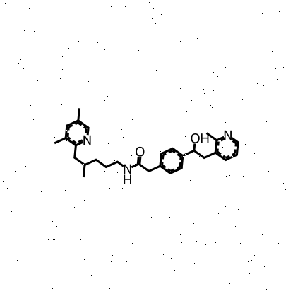 Cc1cnc(CC(C)CCCNC(=O)Cc2ccc(C(O)Cc3cccnc3C)cc2)c(C)c1